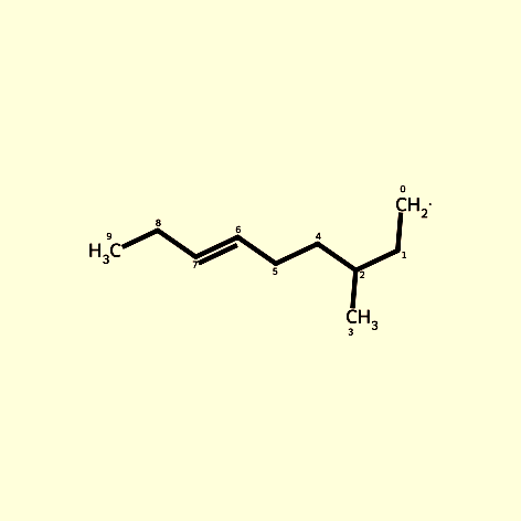 [CH2]CC(C)CCC=CCC